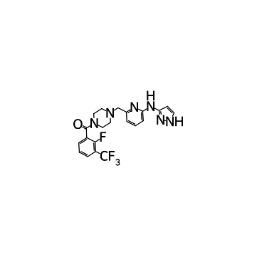 O=C(c1cccc(C(F)(F)F)c1F)N1CCN(Cc2cccc(Nc3cc[nH]n3)n2)CC1